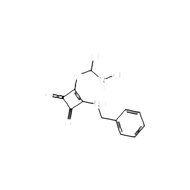 CNC(C)Oc1c(NCc2ccccc2)c(=O)c1=O